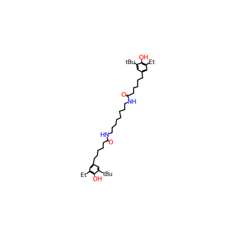 CCc1cc(CCCCCC(=O)NCCCCCCCCNC(=O)CCCCCc2cc(CC)c(O)c(C(C)(C)C)c2)cc(C(C)(C)C)c1O